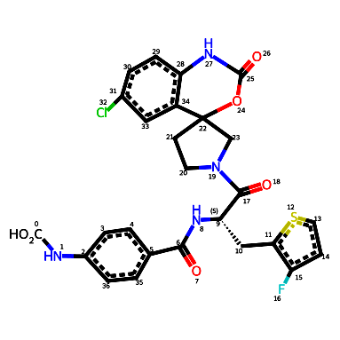 O=C(O)Nc1ccc(C(=O)N[C@@H](Cc2sccc2F)C(=O)N2CCC3(C2)OC(=O)Nc2ccc(Cl)cc23)cc1